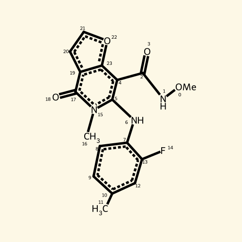 CONC(=O)c1c(Nc2ccc(C)cc2F)n(C)c(=O)c2ccoc12